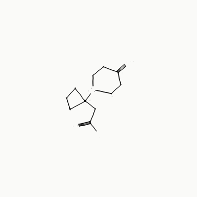 O=C(O)CC1(N2CCC(=O)CC2)CCC1